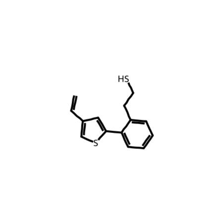 C=Cc1csc(-c2ccccc2CCS)c1